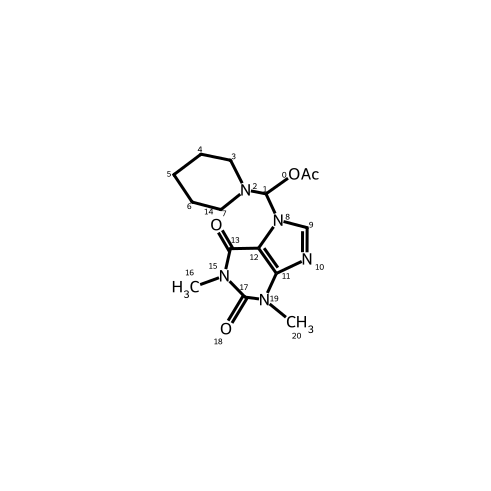 CC(=O)OC(N1CCCCC1)n1cnc2c1c(=O)n(C)c(=O)n2C